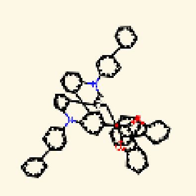 c1ccc(-c2ccc(N3c4ccccc4C4(c5ccccc5N(c5ccc(-c6ccccc6)cc5)c5ccc(-c6cccc7c6oc6ccccc67)cc54)c4cc(-c5cccc6c5oc5ccccc56)ccc43)cc2)cc1